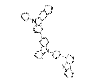 c1ccc(-n2c3ccc(-c4ccc5c(c4)c4ccccc4n5-c4ccc(-c5cccc6c5sc5ccccc56)cc4)cc3c3cc4ccccc4cc32)cc1